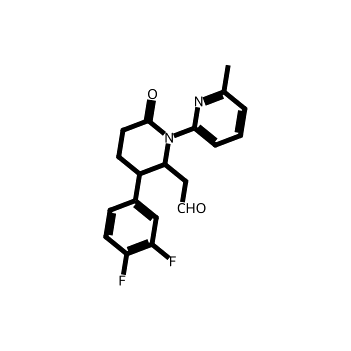 Cc1cccc(N2C(=O)CCC(c3ccc(F)c(F)c3)C2CC=O)n1